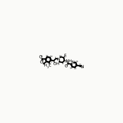 Cc1c([C@@H](O)CN2CC[C@@H](NC(=O)c3ccc(C#N)cn3)[C@@H](F)C2)ccc2c1COC2=O